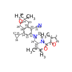 Cc1ccoc1C(=O)N1CCN(c2cc(C3CC3)c3c(c2C#N)CC(C)(C)OC3)C[C@H]1C(C)C